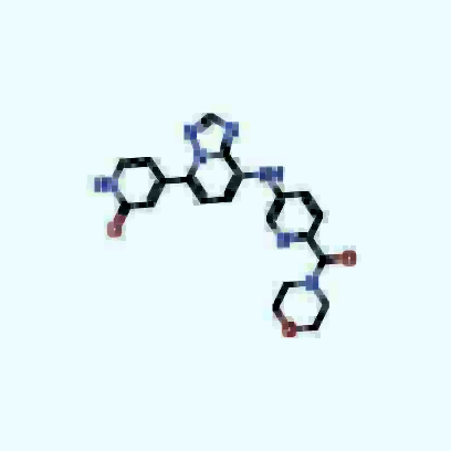 O=C(c1ccc(Nc2ccc(-c3cc[nH]c(=O)c3)n3ncnc23)cn1)N1CCOCC1